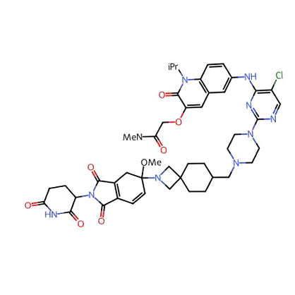 CNC(=O)COc1cc2cc(Nc3nc(N4CCN(CC5CCC6(CC5)CN(C5(OC)C=CC7=C(C5)C(=O)N(C5CCC(=O)NC5=O)C7=O)C6)CC4)ncc3Cl)ccc2n(C(C)C)c1=O